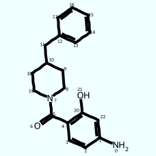 Nc1ccc(C(=O)N2CCC(Cc3ccccc3)CC2)c(O)c1